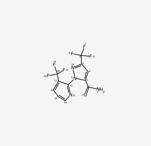 NC(=O)c1cc(C(F)(F)F)nn1-c1ncccc1C(F)(F)F